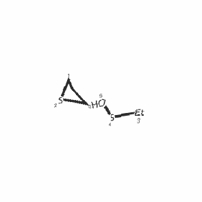 C1CS1.CCSO